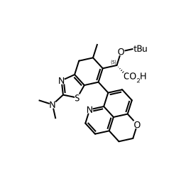 CC1Cc2nc(N(C)C)sc2C(c2ccc3c4c(ccnc24)CCO3)=C1[C@H](OC(C)(C)C)C(=O)O